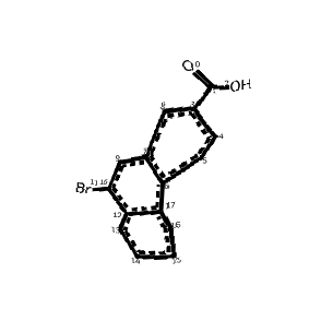 O=C(O)c1ccc2c(c1)cc(Br)c1ccccc12